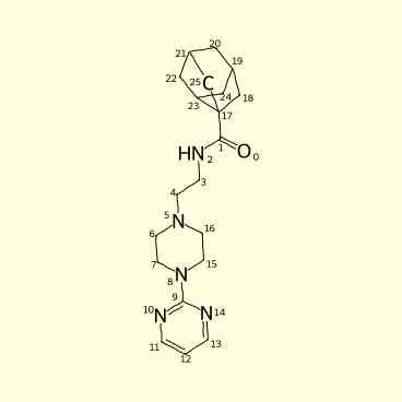 O=C(NCCN1CCN(c2ncccn2)CC1)C12CC3CC(CC1C3)C2